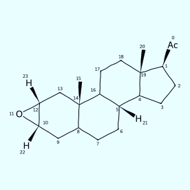 CC(=O)[C@H]1CCC2[C@@H]3CCC4C[C@@H]5O[C@@H]5C[C@]4(C)C3CC[C@@]21C